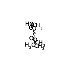 CC(C)(C)COC(=O)CCSCOP(C)(=O)O